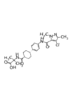 Cc1nn(C)c(C(=O)Nc2ccc([C@H]3CC[C@H](C(=O)NC(C)(C)C(=O)O)CC3)cc2)c1Cl